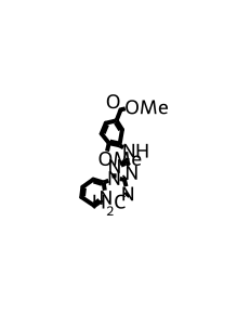 C=Nc1nc(Nc2cc(C(=O)OC)ccc2OC)nn1-c1ccccn1